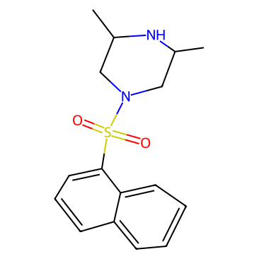 CC1CN(S(=O)(=O)c2cccc3ccccc23)CC(C)N1